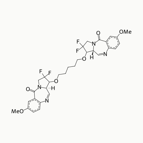 COc1ccc2c(c1)C(=O)N1CC(F)(F)C(OCCCCCOC3[C@H]4C=Nc5ccc(OC)cc5C(=O)N4CC3(F)F)[C@H]1C=N2